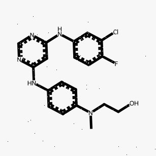 CN(CCO)c1ccc(Nc2cc(Nc3ccc(F)c(Cl)c3)ncn2)cc1